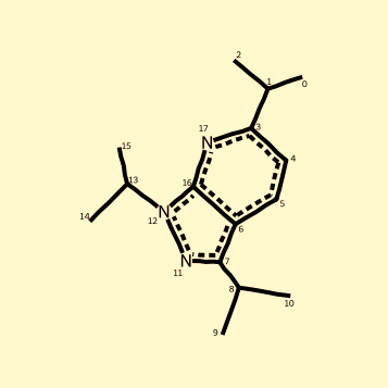 CC(C)c1ccc2c(C(C)C)nn(C(C)C)c2n1